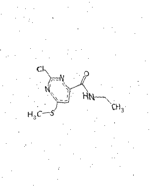 CCNC(=O)c1cc(SC)nc(Cl)n1